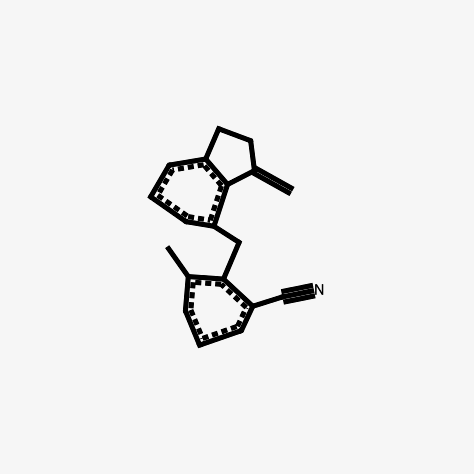 C=C1CCc2cccc(Cc3c(C)cccc3C#N)c21